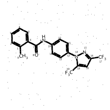 Cc1ccccc1C(=O)Nc1ccc(-n2nc(C(F)(F)F)cc2C(F)(F)F)cc1